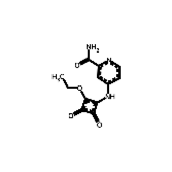 CCOc1c(Nc2ccnc(C(N)=O)c2)c(=O)c1=O